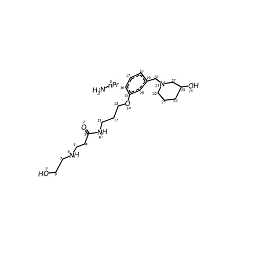 CCCN.O=C(CCNCCO)NCCCOc1cccc(CN2CCCC(O)C2)c1